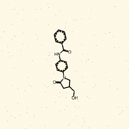 O=C(Nc1ccc(N2CC(CO)CC2=O)cc1)c1ccccc1